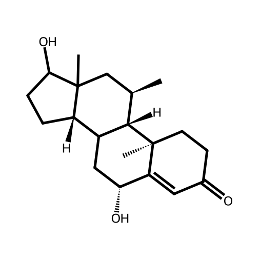 C[C@@H]1CC2(C)C(O)CC[C@H]2C2C[C@@H](O)C3=CC(=O)CC[C@]3(C)[C@H]21